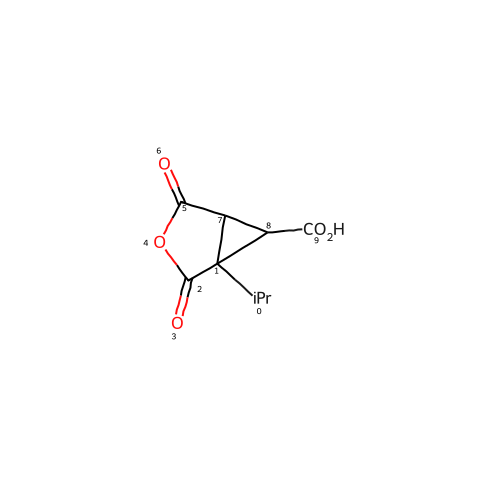 CC(C)C12C(=O)OC(=O)C1C2C(=O)O